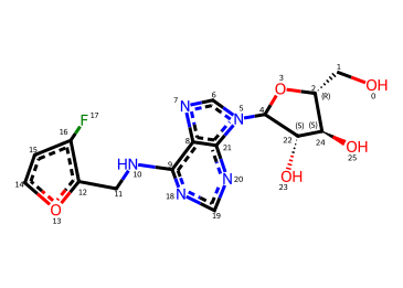 OC[C@H]1OC(n2cnc3c(NCc4occc4F)ncnc32)[C@@H](O)[C@@H]1O